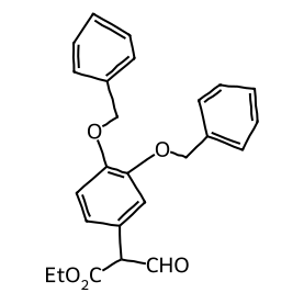 CCOC(=O)C(C=O)c1ccc(OCc2ccccc2)c(OCc2ccccc2)c1